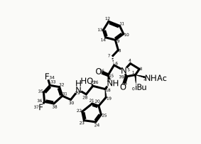 CC[C@H](C)[C@@]1(NC(C)=O)CCN([C@@H](CCc2ccccc2)C(=O)N[C@@H](Cc2ccccc2)[C@H](O)CNCc2cc(F)cc(F)c2)C1=O